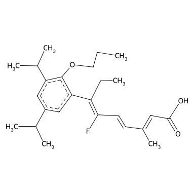 CCCOc1c(C(CC)=C(F)C=CC(C)=CC(=O)O)cc(C(C)C)cc1C(C)C